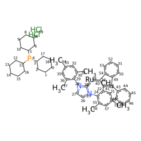 C1CCC(P(C2CCCCC2)C2CCCCC2)CC1.Cc1cc(C)c(-n2ccn(-c3c(C)cc(C)cc3C)[c]2=[Ru]=[C]2C=C(c3ccccc3)c3ccccc32)c(C)c1.Cl.Cl